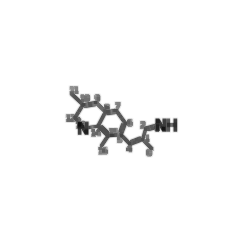 C/C(C=N)=C/c1ccc2cc(C)cnc2c1C